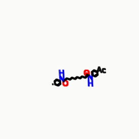 CC(=O)c1ccc(NC(=O)CCCCCCCCC(=O)NC2=CC[CH]C=C2)cc1